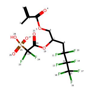 C=C(C)C(=O)OCC(CC(F)(F)C(F)(F)C(F)(F)F)OC(=O)C(F)(F)S(=O)(=O)O